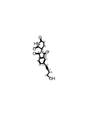 O=C1CCC(N2C(=O)c3ccc(C#CCCO)cc3C2=O)C(=O)N1